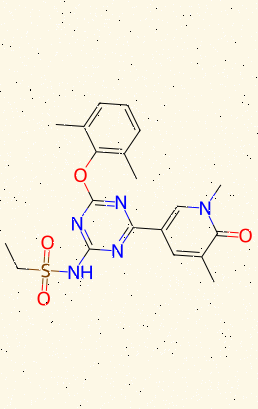 CCS(=O)(=O)Nc1nc(Oc2c(C)cccc2C)nc(-c2cc(C)c(=O)n(C)c2)n1